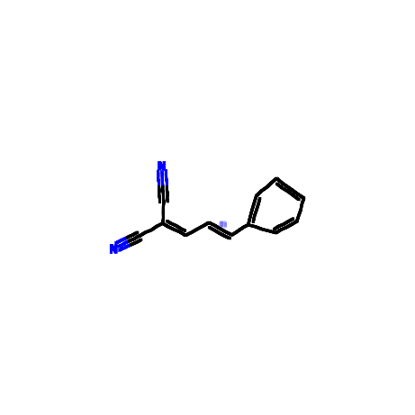 N#CC(C#N)=C/C=C/c1ccccc1